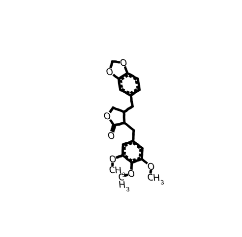 COc1cc(CC2C(=O)OCC2Cc2ccc3c(c2)OCO3)cc(OC)c1OC